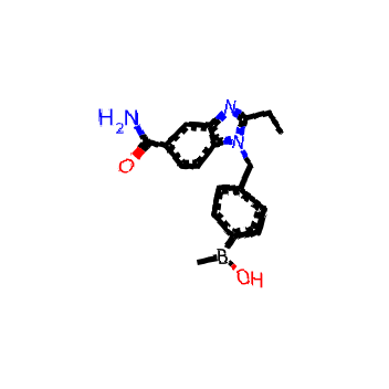 CCc1nc2cc(C(N)=O)ccc2n1Cc1ccc(B(C)O)cc1